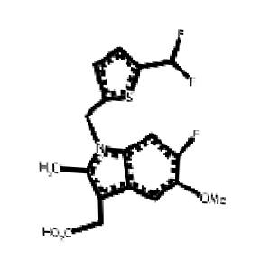 COc1cc2c(CC(=O)O)c(C)n(Cc3ccc(C(F)F)s3)c2cc1F